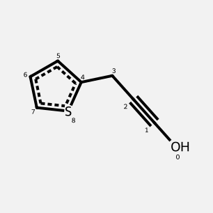 OC#CCc1cccs1